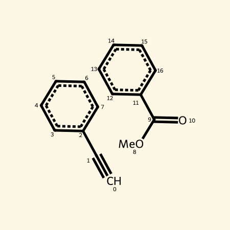 C#Cc1ccccc1.COC(=O)c1ccccc1